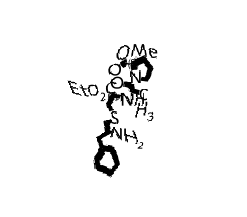 CCOC(=O)[C@H](CSC[C@@H](N)Cc1ccccc1)NC(C)C(=O)N1CCC[C@H]1C(=O)OC